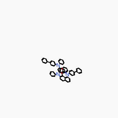 c1ccc(-c2ccc(N(c3ccccc3)c3cc4c(c5ccccc35)c3c5c(N(c6ccccc6)c6ccc(-c7ccccc7)cc6)cccc5ccc3n4-c3ccccc3)cc2)cc1